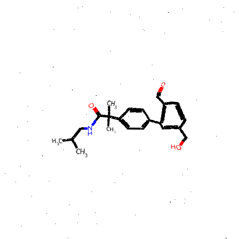 CC(C)CNC(=O)C(C)(C)c1ccc(-c2cc(CO)ccc2C=O)cc1